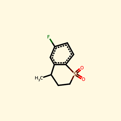 CC1CCS(=O)(=O)c2ccc(F)cc21